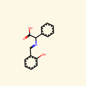 O=C(O)C(/N=C/c1ccccc1O)c1ccccc1